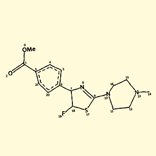 COC(=O)c1ccc(C2N=C(N3CCN(C)CC3)SC2F)cc1